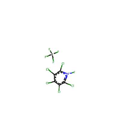 F[B-](F)(F)F.F[n+]1c(Cl)c(Cl)c(Cl)c(Cl)c1Cl